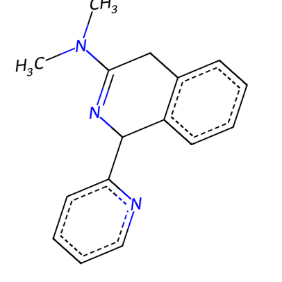 CN(C)C1=NC(c2ccccn2)c2ccccc2C1